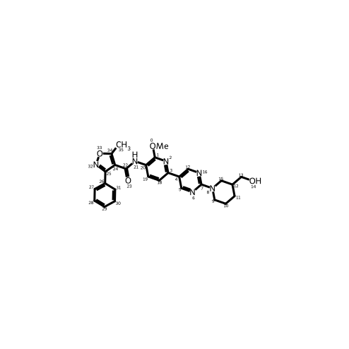 COc1nc(-c2cnc(N3CCCC(CO)C3)nc2)ccc1NC(=O)c1c(-c2ccccc2)noc1C